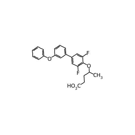 CC(CCC(=O)O)Oc1c(F)cc(-c2cccc(Oc3ccccc3)c2)cc1F